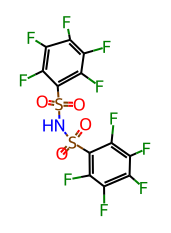 O=S(=O)(NS(=O)(=O)c1c(F)c(F)c(F)c(F)c1F)c1c(F)c(F)c(F)c(F)c1F